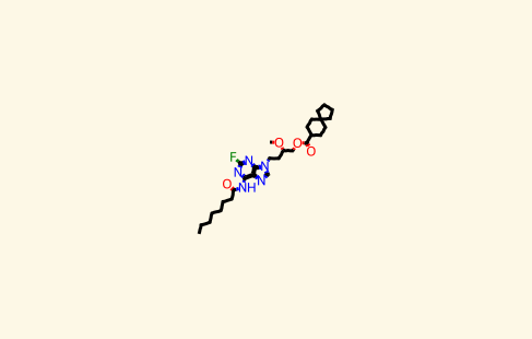 CCCCCCCC(=O)Nc1nc(F)nc2c1ncn2CCC(COC(=O)C1CCC2(CCCC2)CC1)OC